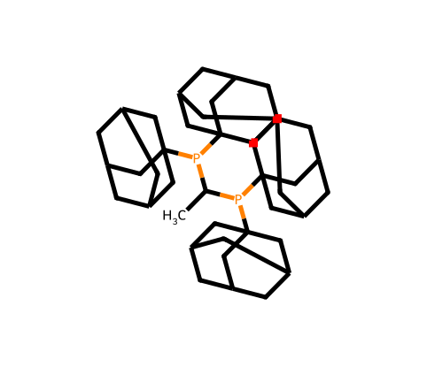 CC(P(C12CC3CC(CC(C3)C1)C2)C12CC3CC(CC(C3)C1)C2)P(C12CC3CC(CC(C3)C1)C2)C12CC3CC(CC(C3)C1)C2